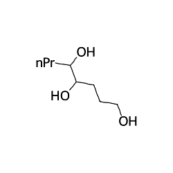 CCCC(O)C(O)CCCO